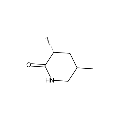 CC1CNC(=O)[C@H](C)C1